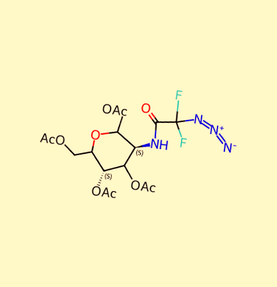 CC(=O)OCC1OC(OC(C)=O)[C@@H](NC(=O)C(F)(F)N=[N+]=[N-])C(OC(C)=O)[C@@H]1OC(C)=O